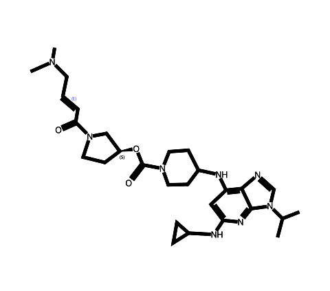 CC(C)n1cnc2c(NC3CCN(C(=O)O[C@H]4CCN(C(=O)/C=C/CN(C)C)C4)CC3)cc(NC3CC3)nc21